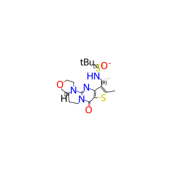 Cc1sc2c(=O)n3c(nc2c1[C@@H](C)N[S@+]([O-])C(C)(C)C)N1CCOC[C@@H]1CC3